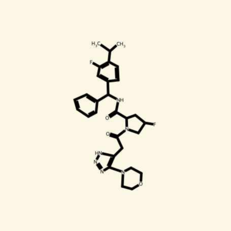 CC(C)c1ccc(C(NC(=O)C2CC(F)CN2C(=O)Cc2[nH]nnc2N2CCOCC2)c2ccccc2)cc1F